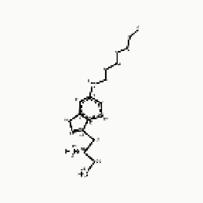 CCCCCCCOc1ccc2c(c1)CC=C2C[C@@H](N)CO